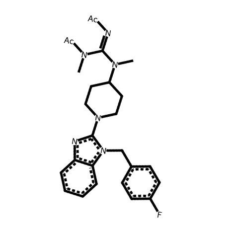 CC(=O)N=C(N(C)C(C)=O)N(C)C1CCN(c2nc3ccccc3n2Cc2ccc(F)cc2)CC1